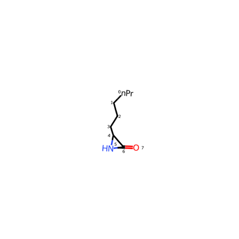 CCCCCCC1NC1=O